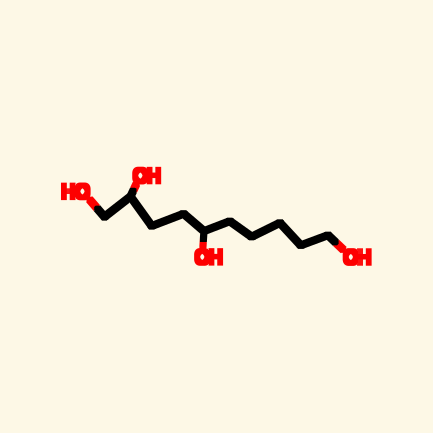 OCCCCCC(O)CCC(O)CO